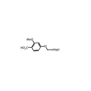 CCCCCCCCOc1ccc(C(=O)O)c(OC)c1